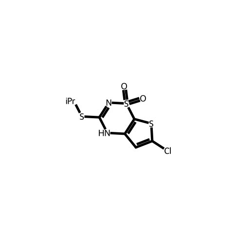 CC(C)SC1=NS(=O)(=O)c2sc(Cl)cc2N1